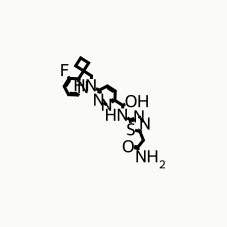 NC(=O)Cc1nnc(NC(O)c2ccc(NCC3(c4ncccc4F)CCC3)nn2)s1